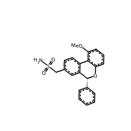 COc1cccc2c1-c1ccc(CS(N)(=O)=O)cc1[C@@H](c1ccccc1)O2